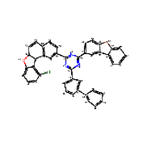 Clc1cccc2c1C1c3cc(-c4nc(-c5cccc(-c6ccccc6)c5)nc(-c5ccc6sc7ccccc7c6c5)n4)ccc3C=CC1O2